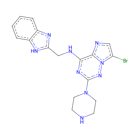 Brc1cnc2c(NCc3nc4ccccc4[nH]3)nc(N3CCNCC3)nn12